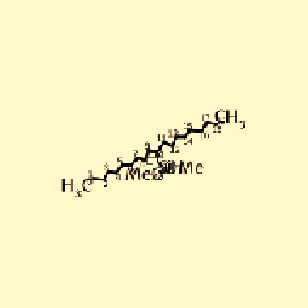 CCCCCCCCCCCCCCCCCCCC.CC[SiH](OC)OC